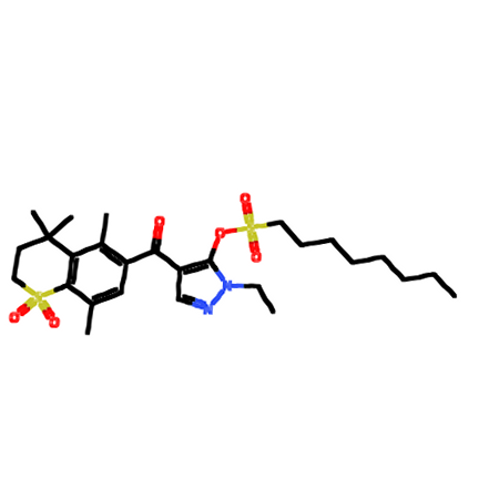 CCCCCCCCS(=O)(=O)Oc1c(C(=O)c2cc(C)c3c(c2C)C(C)(C)CCS3(=O)=O)cnn1CC